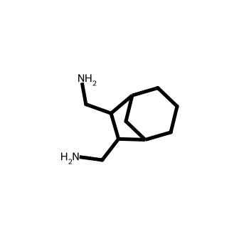 NCC1C2CCCC(C2)C1CN